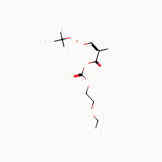 CCCC(C)(C)OOC=C(C)C(=O)OC(=O)OCCOCC=O